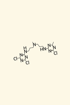 Cc1nc(Cl)nc(NCCCN(C)CCCNc2nc(Cl)nc(Cl)n2)n1